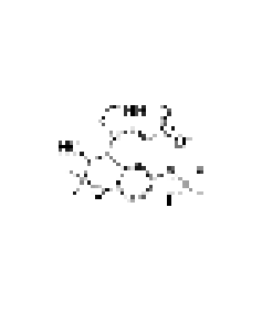 CC1(C)Oc2ccc(SC(F)(F)F)cc2C(N2CCNC2=C[N+](=O)[O-])C1O